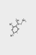 NC[C@H](O)c1ccc(Br)cc1Br